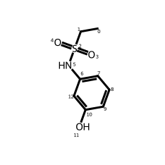 CCS(=O)(=O)Nc1cccc(O)c1